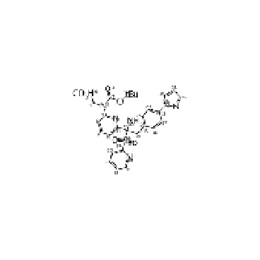 CC(C)(C)OC(=O)N(CC(=O)O)c1cccc(C(N)(Cc2ccc(-n3cccn3)cc2)S(=O)(=O)c2ccccn2)n1